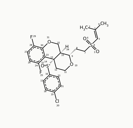 CC(C)=CS(=O)(=O)CC[C@@H]1OCC[C@@]2([S+]([O-])c3ccc(Cl)cc3)c3c(F)ccc(F)c3OC[C@@H]12